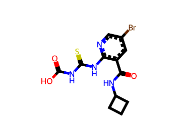 O=C(O)NC(=S)Nc1ncc(Br)cc1C(=O)NC1CCC1